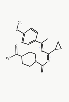 C=C(/N=C(\N=C(/C)c1ccc(OC(F)(F)F)cc1)C1CC1)N1CCC(C(N)=O)CC1